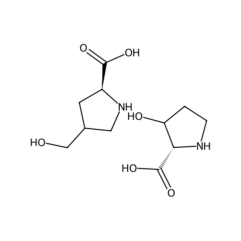 O=C(O)[C@@H]1CC(CO)CN1.O=C(O)[C@H]1NCCC1O